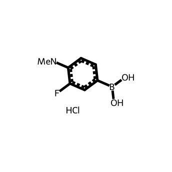 CNc1ccc(B(O)O)cc1F.Cl